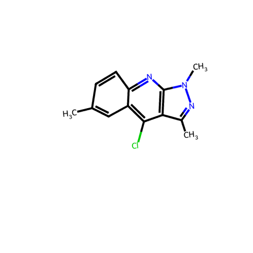 Cc1ccc2nc3c(c(C)nn3C)c(Cl)c2c1